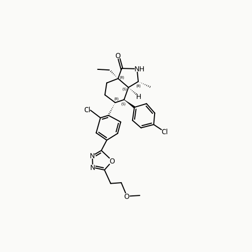 CC[C@@]12CC[C@@H](c3ccc(-c4nnc(CCOC)o4)cc3Cl)[C@H](c3ccc(Cl)cc3)[C@@H]1[C@@H](C)NC2=O